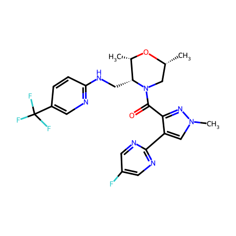 C[C@@H]1CN(C(=O)c2nn(C)cc2-c2ncc(F)cn2)[C@H](CNc2ccc(C(F)(F)F)cn2)[C@H](C)O1